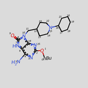 CCCCOc1nc(N)c2[nH]c(=O)n(CC3CCN(C4CCCCC4)CC3)c2n1